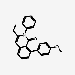 CCc1cc2cccc(-c3ccc(OC)cc3)c2c(=O)n1-c1ccccc1